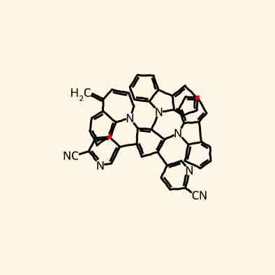 C=C1C=CCN(c2c(-c3ccc(C#N)nc3)cc(-c3ccc(C#N)nc3)c(-n3c4ccccc4c4ccccc43)c2-n2c3ccccc3c3ccccc32)c2ccccc21